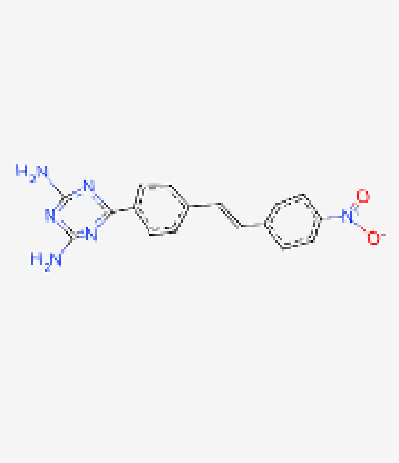 Nc1nc(N)nc(-c2ccc(/C=C/c3ccc([N+](=O)[O-])cc3)cc2)n1